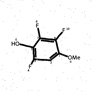 COc1cc(F)c(O)c(F)c1F